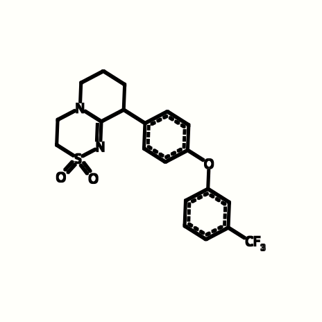 O=S1(=O)CCN2CCCC(c3ccc(Oc4cccc(C(F)(F)F)c4)cc3)C2=N1